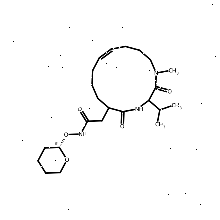 CC(C)C1NC(=O)C(CC(=O)NO[C@H]2CCCCO2)CCCC=CCCCN(C)C1=O